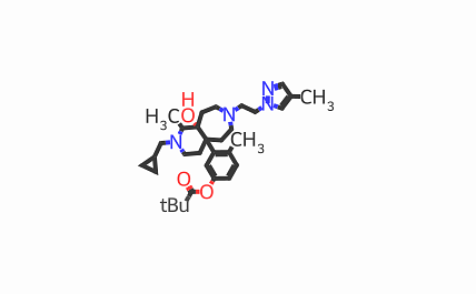 Cc1cnn(CCN2CCC3(c4cc(OC(=O)C(C)(C)C)ccc4C)CCN(CC4CC4)C(C)C3(O)CC2)c1